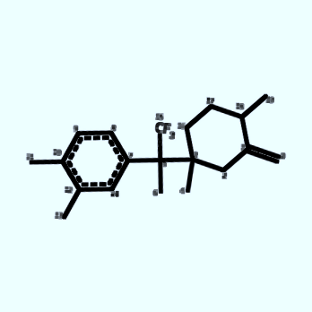 C=C1CC(C)(C(C)(c2ccc(C)c(C)c2)C(F)(F)F)CCC1C